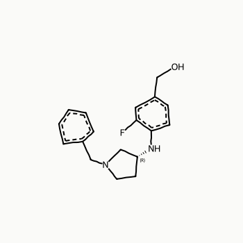 OCc1ccc(N[C@@H]2CCN(Cc3ccccc3)C2)c(F)c1